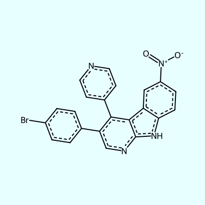 O=[N+]([O-])c1ccc2[nH]c3ncc(-c4ccc(Br)cc4)c(-c4ccncc4)c3c2c1